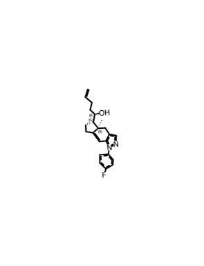 C=CCC[C@@H](O)[C@H]1CCC2=Cc3c(cnn3-c3ccc(F)cc3)C[C@@]21C